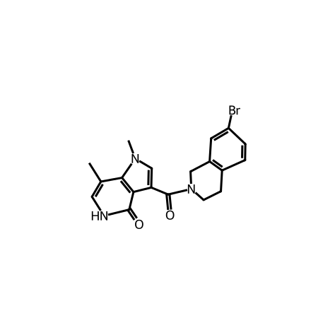 Cc1c[nH]c(=O)c2c(C(=O)N3CCc4ccc(Br)cc4C3)cn(C)c12